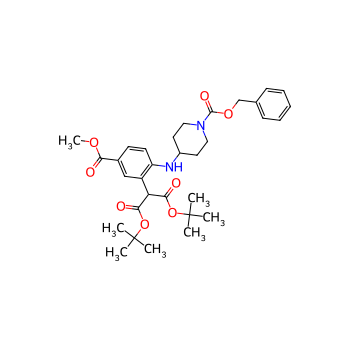 COC(=O)c1ccc(NC2CCN(C(=O)OCc3ccccc3)CC2)c(C(C(=O)OC(C)(C)C)C(=O)OC(C)(C)C)c1